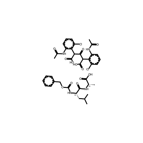 CC(=O)Nc1cccc(Cl)c1C(C(=O)O)C(=O)C(C(=O)O)c1c(Cl)cccc1NC(C)=O.CC(C)C[C@H](NC(=O)OCc1ccccc1)C(=O)N[C@@H](C)C(=O)O